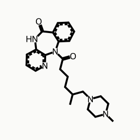 CC(CCCC(=O)N1c2ccccc2C(=O)Nc2cccnc21)CN1CCN(C)CC1